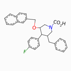 O=C(O)N1CC(Cc2ccccc2)C(c2ccc(F)cc2)C(OCc2ccc3ccccc3c2)C1